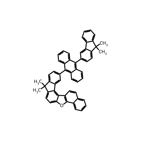 CC1(C)c2ccccc2-c2cc(-c3c4ccccc4c(-c4ccc5c(c4)-c4c(ccc6oc7c8ccccc8ccc7c46)C5(C)C)c4ccccc34)ccc21